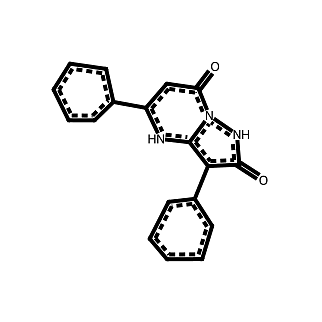 O=c1[nH]n2c(=O)cc(-c3ccccc3)[nH]c2c1-c1ccccc1